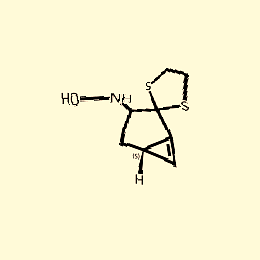 ONC1C[C@H]2C=C2C12SCCS2